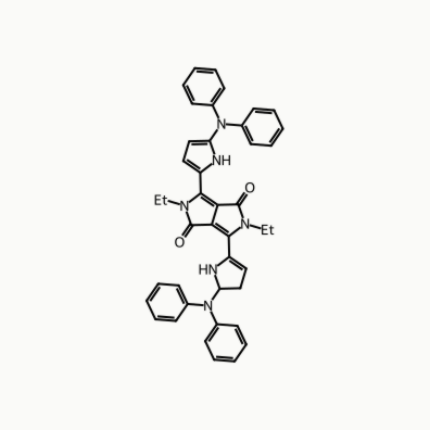 CCN1C(=O)C2=C(c3ccc(N(c4ccccc4)c4ccccc4)[nH]3)N(CC)C(=O)C2=C1C1=CCC(N(c2ccccc2)c2ccccc2)N1